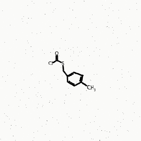 Cc1ccc(CSC(=O)Cl)cc1